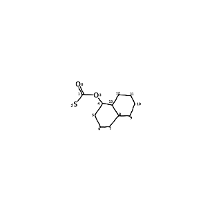 O=C([S])OC1CCCC2CCCCC21